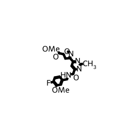 COC(=O)C1CC(c2cc(C(=O)NCc3ccc(F)c(OC)c3)nc(C)n2)=NO1